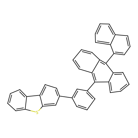 c1cc(-c2ccc3c(c2)sc2ccccc23)cc(-c2c3ccccc3c(-c3cccc4ccccc34)c3ccccc23)c1